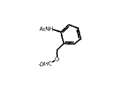 CC(=O)Nc1ccccc1CO[C]=O